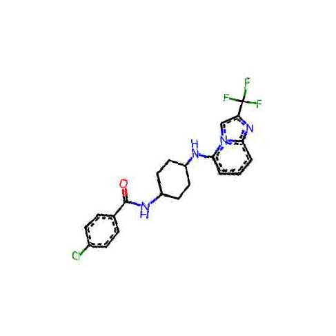 O=C(NC1CCC(Nc2cccc3nc(C(F)(F)F)cn23)CC1)c1ccc(Cl)cc1